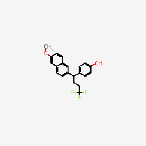 COc1ccc2cc(C(CCC(F)(F)F)c3ccc(O)cc3)ccc2c1